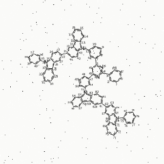 c1ccc(-c2nc(-c3cccc(-n4c5ccccc5c5cc(-c6ccc7c(c6)c6ccccc6n7-c6ccccc6)ccc54)c3)cc(-c3cccc(-n4c5ccccc5c5cc(-c6ccc7c(c6)c6ccccc6n7-c6ccccc6)ccc54)c3)n2)cc1